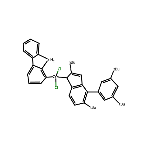 CCCCC1=Cc2c(ccc(C(C)(C)C)c2-c2cc(C(C)(C)C)cc(C(C)(C)C)c2)[CH]1[Zr]([Cl])([Cl])[c]1cccc2c1[SiH2]c1ccccc1-2